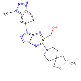 C[C@H]1CC2(CCN(c3nc4cnn(-c5ccc6nnn(C)c6c5)c4nc3CO)CC2)CO1